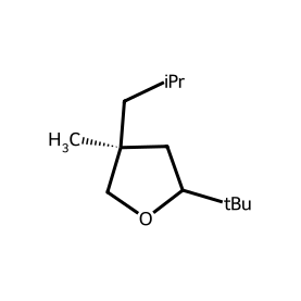 CC(C)C[C@]1(C)COC(C(C)(C)C)C1